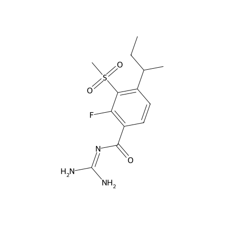 CCC(C)c1ccc(C(=O)N=C(N)N)c(F)c1S(C)(=O)=O